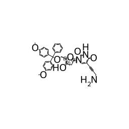 COc1ccc(C(OC[C@H]2O[C@@H](n3cc(C#CCN)c(=O)[nH]c3=O)C[C@H]2O)(c2ccccc2)c2ccc(OC)cc2)cc1